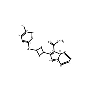 NC(=O)c1c(C2CC(Oc3ccc(Cl)cc3)C2)nc2ccccn12